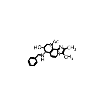 CC(=O)N1C[C@H](O)[C@H](NCc2ccccc2)c2ccn3c(C)c(C)nc3c21